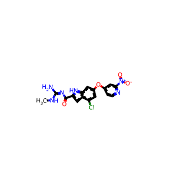 CNC(N)=NC(=O)c1cc2c(Cl)cc(Oc3ccnc([N+](=O)[O-])c3)cc2[nH]1